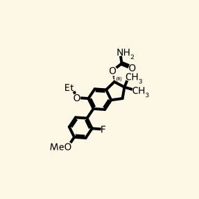 CCOc1cc2c(cc1-c1ccc(OC)cc1F)CC(C)(C)[C@H]2OC(N)=O